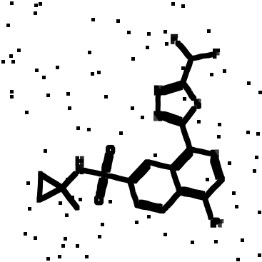 CC(C)c1cnc(-c2nnc(C(F)F)s2)c2cc(S(=O)(=O)NC3(C)CC3)ccc12